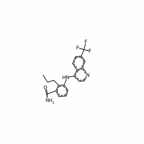 CCCc1c(Nc2ccnc3cc(C(F)(F)F)ccc23)cccc1C(N)=O